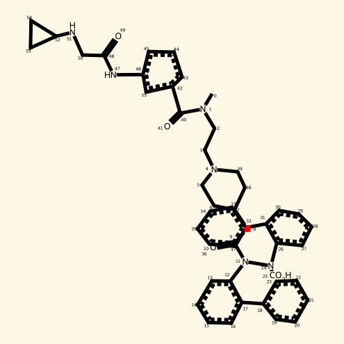 CN(CCN1CCC(OC(=O)N(c2ccccc2-c2ccccc2)N(C(=O)O)c2ccccc2-c2ccccc2)CC1)C(=O)c1cccc(NC(=O)CNC2CC2)c1